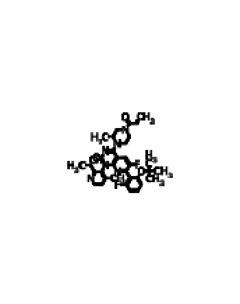 C=CC(=O)N1CCN(c2nc(=O)n(-c3c(C)ccnc3C(C)C)c3nc(-c4c(F)cccc4OC(C)(C)C)c(F)cc23)[C@@H](C)C1